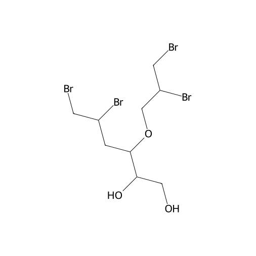 OCC(O)C(CC(Br)CBr)OCC(Br)CBr